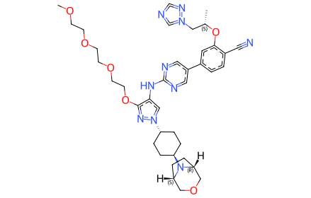 COCCOCCOCCOc1nn([C@H]2CC[C@H](N3[C@@H]4CC[C@H]3COC4)CC2)cc1Nc1ncc(-c2ccc(C#N)c(O[C@@H](C)Cn3cncn3)c2)cn1